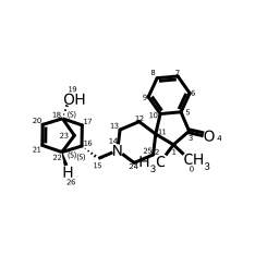 CC1(C)C(=O)c2ccccc2C12CCN(C[C@H]1C[C@]3(O)C=C[C@@H]1C3)CC2